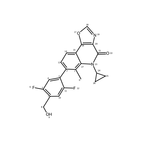 Cc1c(-c2cc(F)c(CO)cc2F)ccc2c3ocnc3c(=O)n(C3CC3)c12